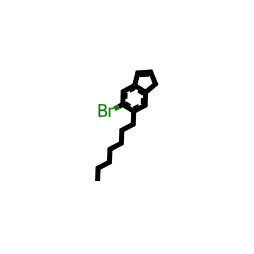 CCCCCCCc1cc2c(cc1Br)C=CC2